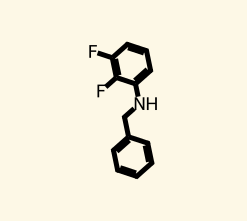 Fc1cccc(NCc2ccccc2)c1F